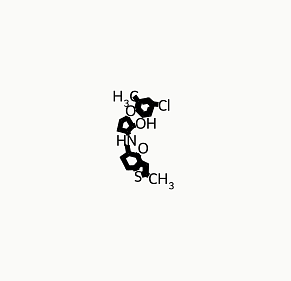 Cc1cc2c(s1)CCC(CNC1CCC(Oc3ccc(Cl)cc3C)C1O)C2=O